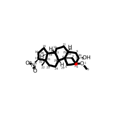 COCC[C@]12CC[C@@H](O)C[C@@H]1CC[C@H]1[C@@H]3CC[C@H]([N+](=O)[O-])[C@@]3(C)CC[C@@H]12